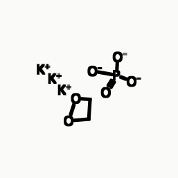 C1COO1.O=P([O-])([O-])[O-].[K+].[K+].[K+]